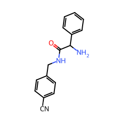 N#Cc1ccc(CNC(=O)C(N)c2ccccc2)cc1